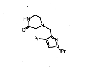 CC(C)c1cn(C(C)C)nc1CN1CCNC(=O)C1